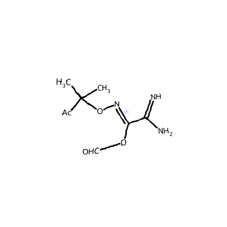 CC(=O)C(C)(C)O/N=C(\OC=O)C(=N)N